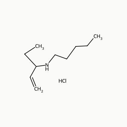 C=CC(CC)NCCCCC.Cl